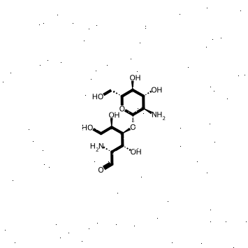 N[C@H]1[C@H](O[C@@H]([C@H](O)[C@@H](N)C=O)[C@H](O)CO)O[C@H](CO)[C@@H](O)[C@@H]1O